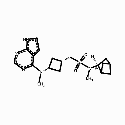 CN([C@H]1CC2CC1C2)S(=O)(=O)C[C@H]1C[C@@H](N(C)c2ncnc3[nH]ccc23)C1